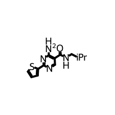 CC(C)CNC(=O)c1cnc(-c2cccs2)nc1N